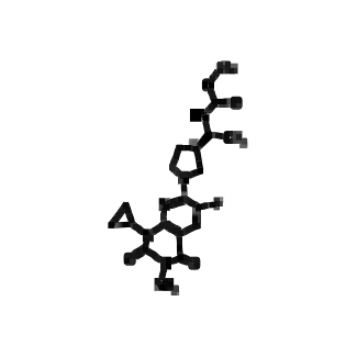 CC(NC(=O)OC(C)(C)C)[C@@H]1CCN(c2nc3c(cc2F)c(=O)n(N)c(=O)n3C2CC2)C1